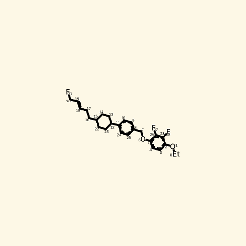 CCOc1ccc(OCc2ccc(C3CCC(CCC=CCF)CC3)cc2)c(F)c1F